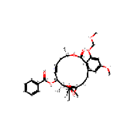 COCOc1cc(OC)cc2c1C(=O)O[C@@H](C)C/C=C\C(OC(=O)c1ccccc1)[C@H]1OC(C)(C)C3(CC2)O[C@H]13